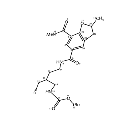 CNC(=O)c1cc(C(=O)NCCC(CF)CNC(=O)OC(C)(C)C)cc2c1OC(C)C2